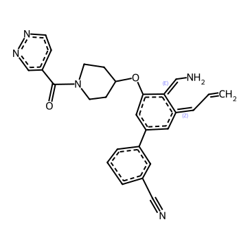 C=C/C=c1/cc(-c2cccc(C#N)c2)cc(OC2CCN(C(=O)c3ccnnc3)CC2)/c1=C/N